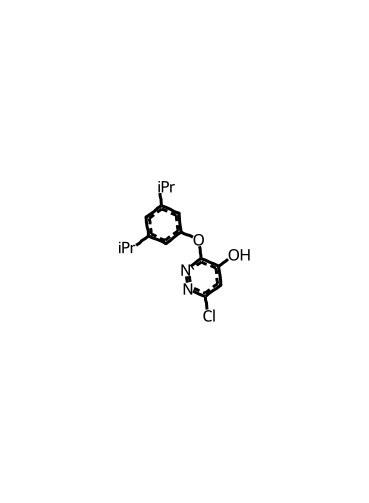 CC(C)c1cc(Oc2nnc(Cl)cc2O)cc(C(C)C)c1